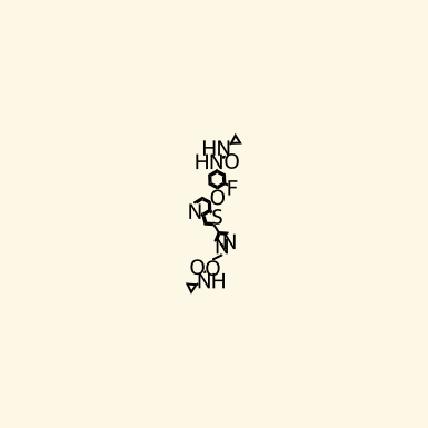 O=C(Nc1ccc(Oc2ccnc3cc(-c4cnn(CCOC(=O)NC5CC5)c4)sc23)c(F)c1)NC1CC1